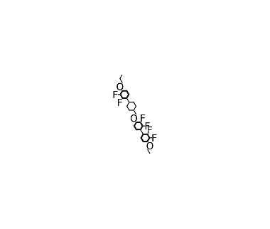 CCCOc1ccc(C2CCC(COc3ccc(-c4ccc(OCC)c(F)c4F)c(F)c3F)CC2)c(F)c1F